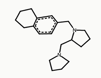 c1cc2c(cc1CN1CCCC1CN1CCCC1)CCCC2